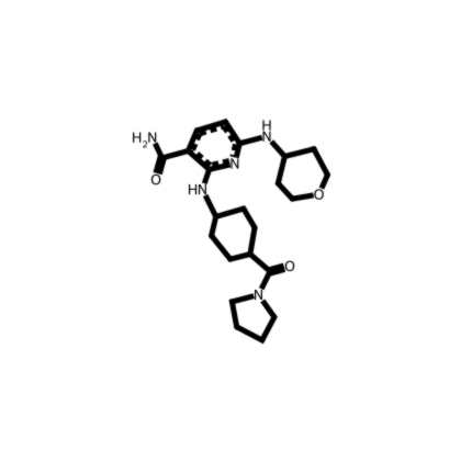 NC(=O)c1ccc(NC2CCOCC2)nc1NC1CCC(C(=O)N2CCCC2)CC1